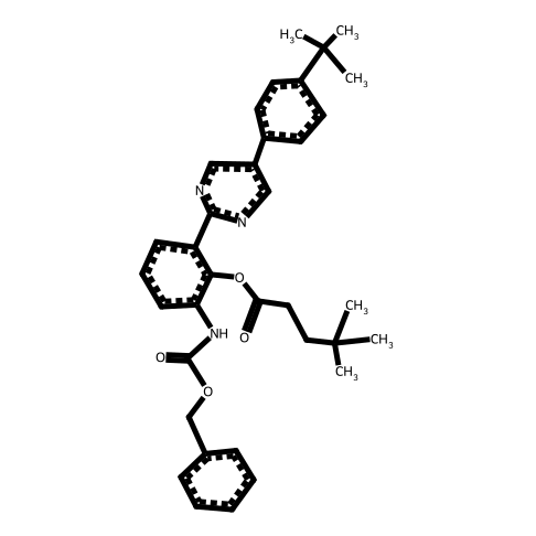 CC(C)(C)CCC(=O)Oc1c(NC(=O)OCc2ccccc2)cccc1-c1ncc(-c2ccc(C(C)(C)C)cc2)cn1